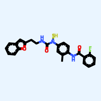 Cc1cc(N(S)C(=O)NCCc2cc3ccccc3o2)ccc1NC(=O)c1ccccc1F